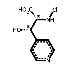 O=C(O)[C@H](NCl)[C@@H](O)c1ccncc1